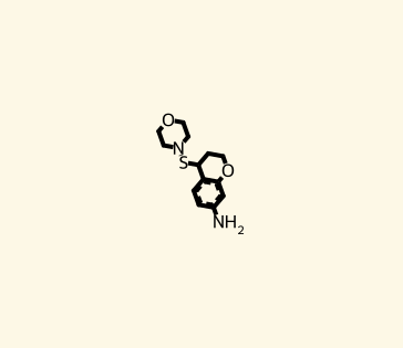 Nc1ccc2c(c1)OCCC2SN1CCOCC1